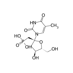 Cc1cn([C@@]2(CP(=O)(O)O)C[C@H](O)[C@@H](CO)O2)c(=O)[nH]c1=O